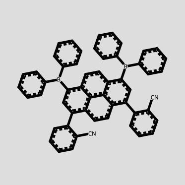 N#Cc1ccccc1-c1cc(B(c2ccccc2)c2ccccc2)c2ccc3c(B(c4ccccc4)c4ccccc4)cc(-c4ccccc4C#N)c4ccc1c2c34